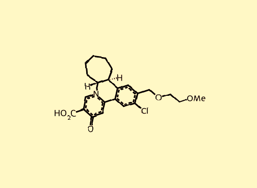 COCCOCc1cc2c(cc1Cl)-c1cc(=O)c(C(=O)O)cn1[C@@H]1CCCCC[C@@H]21